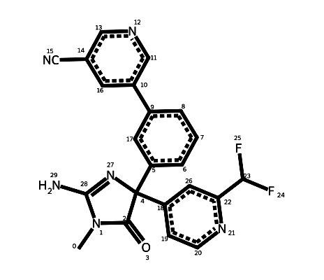 CN1C(=O)C(c2cccc(-c3cncc(C#N)c3)c2)(c2ccnc(C(F)F)c2)N=C1N